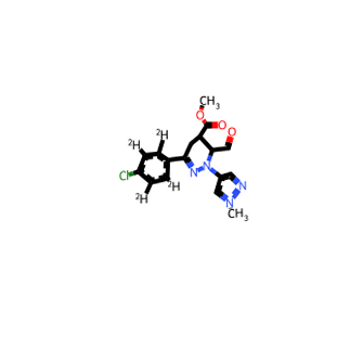 [2H]c1c([2H])c(C2=NN(c3cnn(C)c3)C(C=O)C(C(=O)OC)C2)c([2H])c([2H])c1Cl